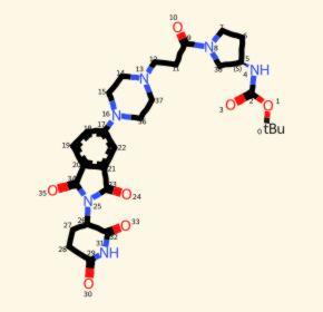 CC(C)(C)OC(=O)N[C@H]1CCN(C(=O)CCN2CCN(c3ccc4c(c3)C(=O)N(C3CCC(=O)NC3=O)C4=O)CC2)C1